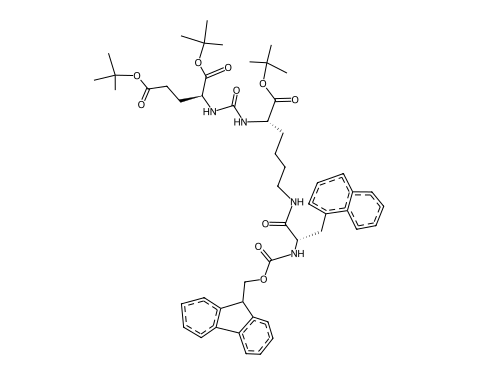 CC(C)(C)OC(=O)CC[C@H](NC(=O)N[C@@H](CCCCNC(=O)[C@H](Cc1cccc2ccccc12)NC(=O)OCC1c2ccccc2-c2ccccc21)C(=O)OC(C)(C)C)C(=O)OC(C)(C)C